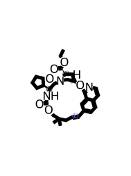 CCOC(=O)[C@@H]1C[C@@H]2CN1C(=O)[C@H](C1CCCC1)NC(=O)OCC(C)(C)C/C=C/c1ccc3ccnc(c3c1)O2